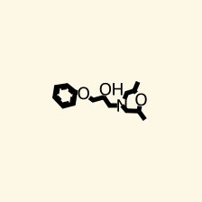 CC1CN(CC(O)COc2ccccc2)CC(C)O1